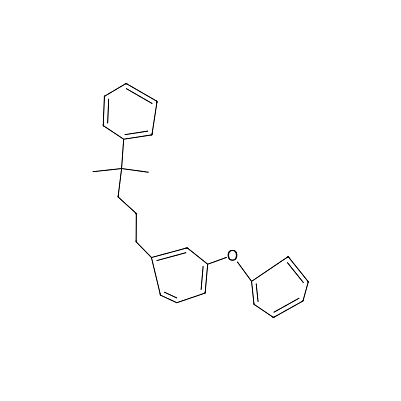 CC(C)(CCCc1cccc(Oc2ccccc2)c1)c1ccccc1